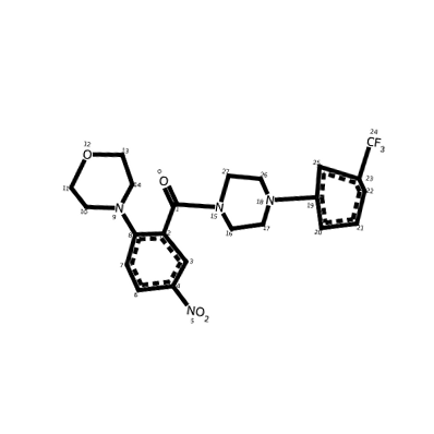 O=C(c1cc([N+](=O)[O-])ccc1N1CCOCC1)N1CCN(c2cccc(C(F)(F)F)c2)CC1